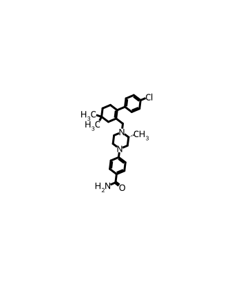 C[C@@H]1CN(c2ccc(C(N)=O)cc2)CCN1CC1=C(c2ccc(Cl)cc2)CCC(C)(C)C1